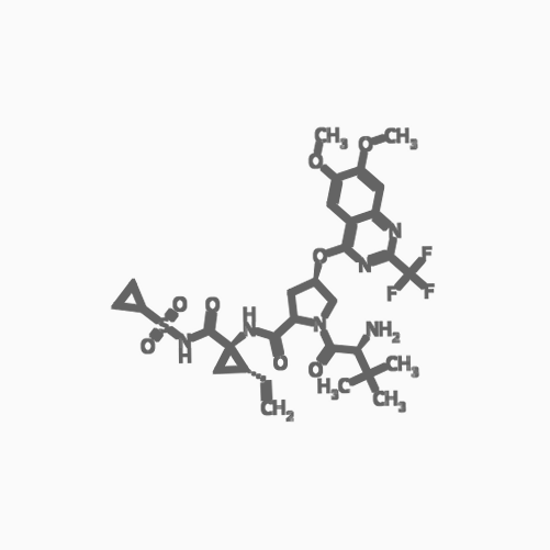 C=C[C@@H]1C[C@]1(NC(=O)C1C[C@@H](Oc2nc(C(F)(F)F)nc3cc(OC)c(OC)cc23)CN1C(=O)[C@@H](N)C(C)(C)C)C(=O)NS(=O)(=O)C1CC1